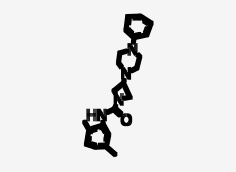 Cc1ccc(C)c(NC(=O)N2CC(N3CCN(c4ccccc4)CC3)C2)c1